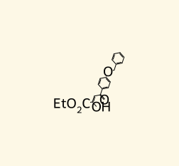 CCOC(=O)C(O)=CC(=O)c1ccc(OCc2ccccc2)cc1